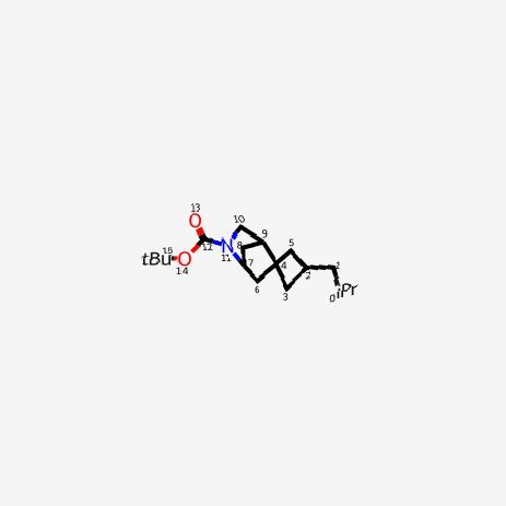 CC(C)CC1CC2(C1)CC1CC2CN1C(=O)OC(C)(C)C